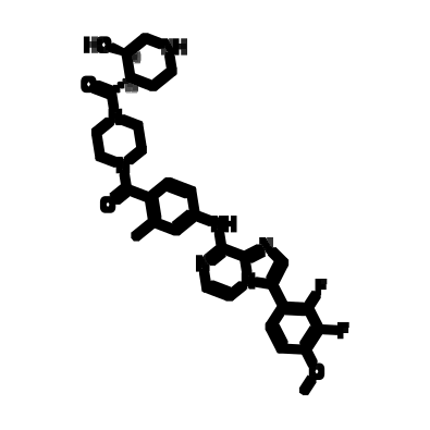 COc1ccc(-c2cnc3c(Nc4ccc(C(=O)N5CCN(C(=O)[C@H]6CCNC[C@@H]6O)CC5)c(C)c4)nccn23)c(F)c1F